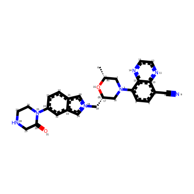 C[C@@H]1CN(c2ccc(C#N)c3nccnc23)C[C@H](Cn2cc3ccc(N4CCNCC4=O)cc3c2)O1